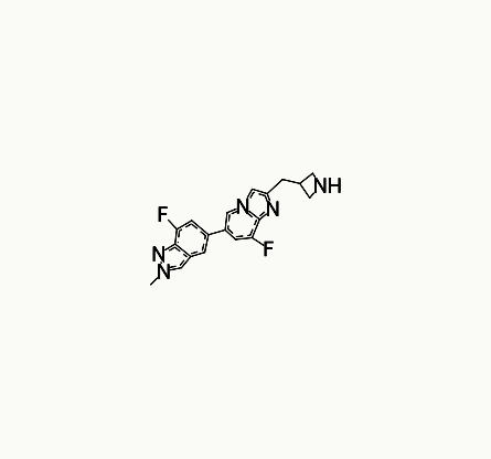 Cn1cc2cc(-c3cc(F)c4nc(CC5CNC5)cn4c3)cc(F)c2n1